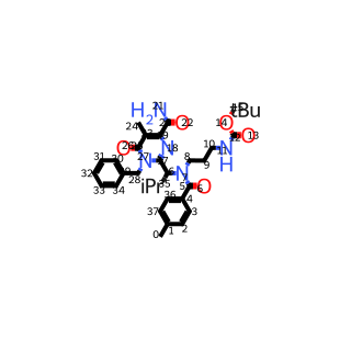 Cc1ccc(C(=O)N(CCCNC(=O)OC(C)(C)C)C(c2nc(C(N)=O)c(C)c(=O)n2Cc2ccccc2)C(C)C)cc1